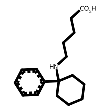 O=C(O)CCCCNC1(c2ccccc2)CCCCC1